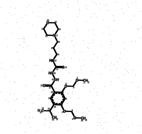 COCOc1cc(OCOC)c(C(C)C)cc1C(=O)NNC(=S)NCCCN1CCOCC1